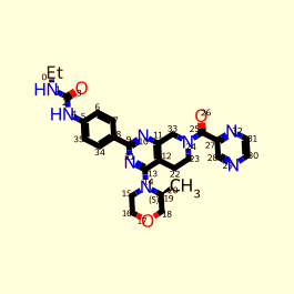 CCNC(=O)Nc1ccc(-c2nc3c(c(N4CCOC[C@@H]4C)n2)CCN(C(=O)c2cnccn2)C3)cc1